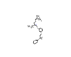 CC(C)=CCC/C(C)=C/Cc1cccc(C=CC(=O)c2ccccc2)c1